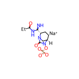 CCC(=O)NC(=N)[C@@H]1CC[C@@H]2CN1C(=O)N2OS(=O)(=O)[O-].[Na+]